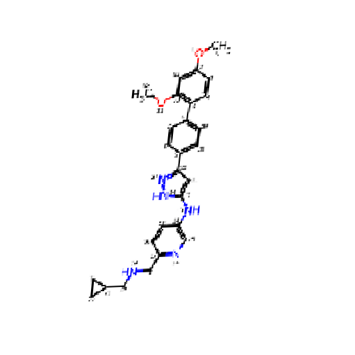 COc1ccc(-c2ccc(-c3cc(Nc4ccc(CNCC5CC5)nc4)[nH]n3)cc2)c(OC)c1